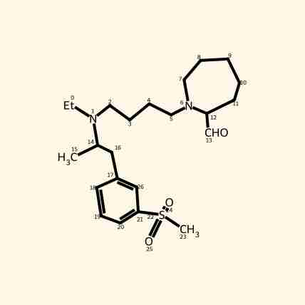 CCN(CCCCN1CCCCCC1C=O)C(C)Cc1cccc(S(C)(=O)=O)c1